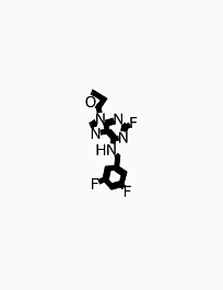 Fc1cc(F)cc(CNc2nc(F)nc3c2ncn3C2CCO2)c1